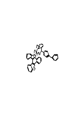 c1ccc(-c2ccc(-c3nc(-n4c5ccccc5c5c6c7ccccc7sc6c6ccccc6c54)nc4ncccc34)cc2)cc1